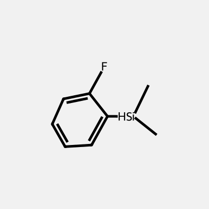 C[SiH](C)c1ccccc1F